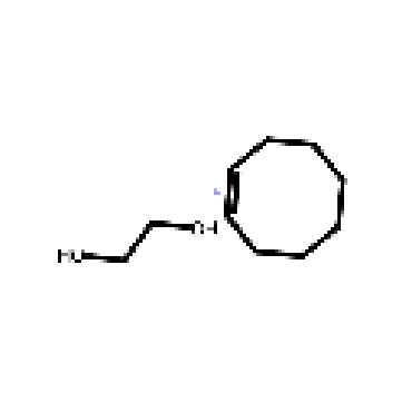 C1=C\CCCCCC/1.OCCO